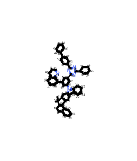 CC1(C)c2cc3c(cc2-c2c1ccc1ccccc21)c1ccccc1n3-c1cc(-c2nc(-c3ccccc3)nc(-c3ccc(-c4ccccc4)cc3)n2)cc(-c2cccc3cccnc23)c1